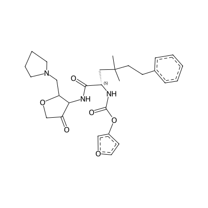 CC(C)(CCc1ccccc1)C[C@H](NC(=O)Oc1ccoc1)C(=O)NC1C(=O)COC1CN1CCCC1